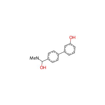 CNC(O)c1ccc(-c2cccc(O)c2)cc1